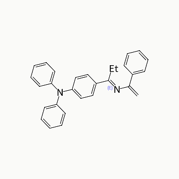 C=C(/N=C(\CC)c1ccc(N(c2ccccc2)c2ccccc2)cc1)c1ccccc1